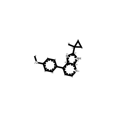 COc1ccc(-c2ccnc3[nH]c(C4(C)CC4)nc23)cc1